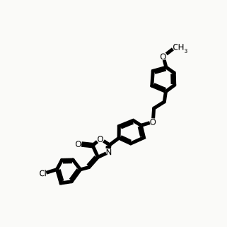 COc1ccc(CCOc2ccc(C3=NC(=Cc4ccc(Cl)cc4)C(=O)O3)cc2)cc1